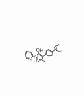 CCN(CC)c1ccc(-c2c(C)nn(-c3ccccn3)c2O)cc1